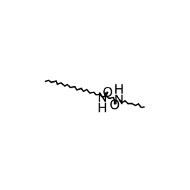 CCCCCCCCCCCCCCCCCCNC(=O)CCC(=O)NCCCCCCCC